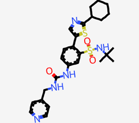 CC(C)(C)NS(=O)(=O)c1cc(NC(=O)NCc2ccncc2)ccc1-c1cnc(C2CCCCC2)s1